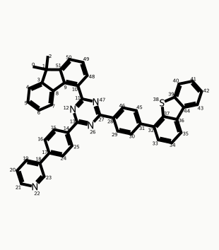 CC1(C)c2ccccc2-c2c(-c3nc(-c4ccc(-c5cccnc5)cc4)nc(-c4ccc(-c5cccc6c5sc5ccccc56)cc4)n3)cccc21